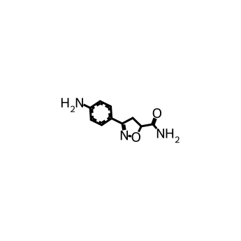 NC(=O)C1CC(c2ccc(N)cc2)=NO1